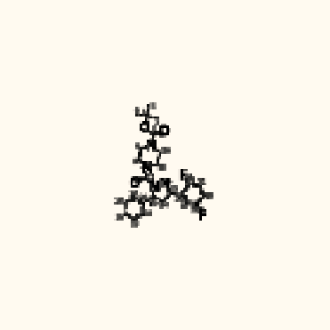 CC(C)(C)OC(=O)N1CCN(C(=O)N2N=C(c3cc(F)ccc3F)CC2c2ccccc2)CC1